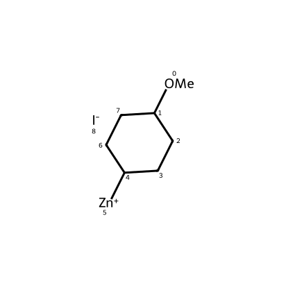 COC1CC[CH]([Zn+])CC1.[I-]